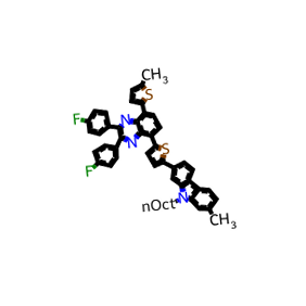 CCCCCCCCn1c2cc(C)ccc2c2ccc(-c3ccc(-c4ccc(-c5ccc(C)s5)c5nc(-c6ccc(F)cc6)c(-c6ccc(F)cc6)nc45)s3)cc21